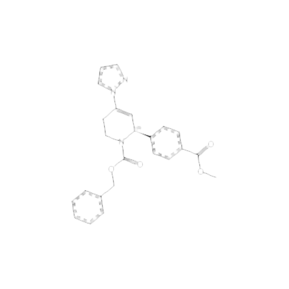 COC(=O)c1ccc([C@@H]2C=C(n3cccn3)CCN2C(=O)OCc2ccccc2)cc1